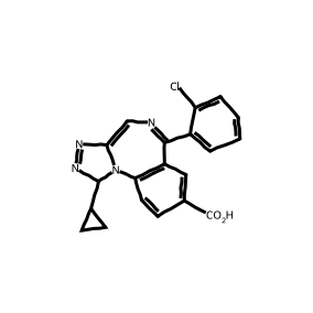 O=C(O)c1ccc2c(c1)C(c1ccccc1Cl)=NC=C1N=NC(C3CC3)N12